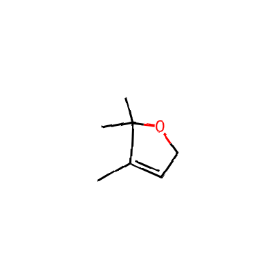 CC1=CCOC1(C)C